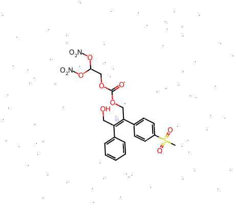 CS(=O)(=O)c1ccc(/C(COC(=O)OCC(O[N+](=O)[O-])O[N+](=O)[O-])=C(/CO)c2ccccc2)cc1